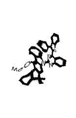 COc1c2c(cc3c1c1ccccc1n3-c1nc(-c3sc4ccccc4c3-c3ccccc3)c3ccccc3n1)C(C)(C)c1ccccc1-2